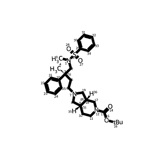 CN(C[C@@](C)(CCN1C[C@H]2CCN(C(=O)OC(C)(C)C)C[C@H]2C1)c1ccccc1)S(=O)(=O)c1ccccc1